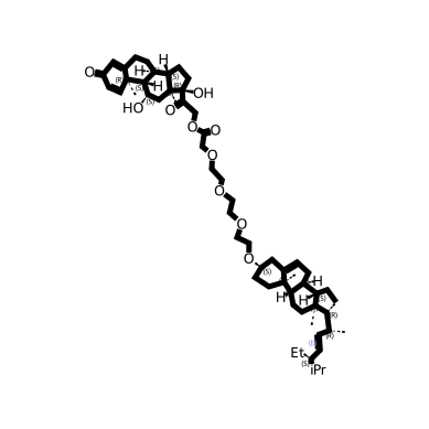 CC[C@H](/C=C/[C@@H](C)[C@H]1CC[C@H]2[C@@H]3CC=C4C[C@@H](OCCOCCOCCOCC(=O)OCC(=O)[C@@]5(O)CC[C@H]6[C@@H]7CCC8=CC(=O)C=C[C@]8(C)[C@H]7[C@@H](O)C[C@@]65C)CC[C@]4(C)[C@H]3CC[C@]12C)C(C)C